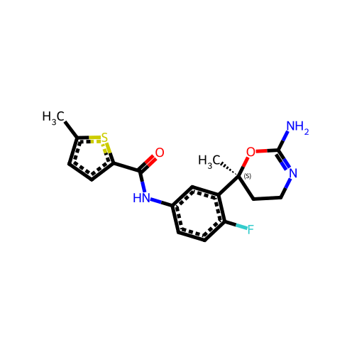 Cc1ccc(C(=O)Nc2ccc(F)c([C@]3(C)CCN=C(N)O3)c2)s1